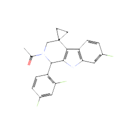 CC(=O)N1CC2(CC2)c2c([nH]c3cc(F)ccc23)C1c1ccc(F)cc1F